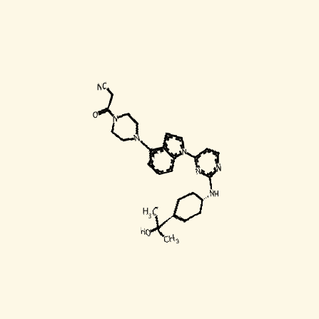 CC(C)(O)[C@H]1CC[C@H](Nc2nccc(-n3ccc4c(N5CCN(C(=O)CC#N)CC5)cccc43)n2)CC1